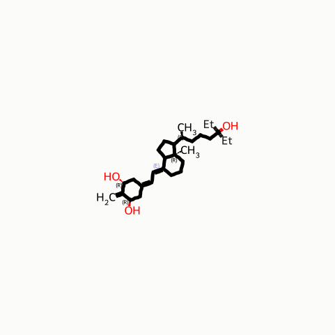 C=C1[C@H](O)CC(=C/C=C2\CCC[C@@]3(C)C2CCC3[C@@H](C)CCCC(O)(CC)CC)C[C@H]1O